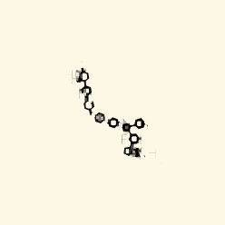 NS(=O)(=O)N1CCCC1c1cc(F)cc(-c2cn(-c3ccc(N4CCN(CC5CCN(c6ccc(C7CCC(=O)NC7=O)cn6)CC5)CC4)cc3)nc2-c2ccncc2)c1F